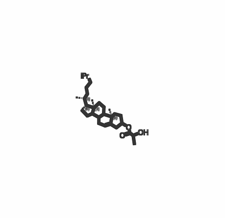 CC(C)CCC[C@@H](C)[C@H]1CCC2C3CC=C4CC(OC(=O)C(C)O)CC[C@]4(C)C3CC[C@@]21C